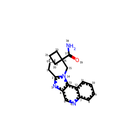 CCc1nc2cnc3ccccc3c2n1CC1(C(N)=O)CCC1